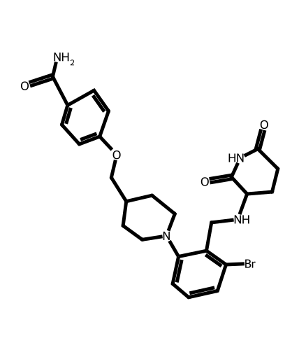 NC(=O)c1ccc(OCC2CCN(c3cccc(Br)c3CNC3CCC(=O)NC3=O)CC2)cc1